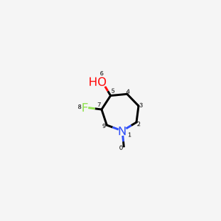 CN1CCCC(O)C(F)C1